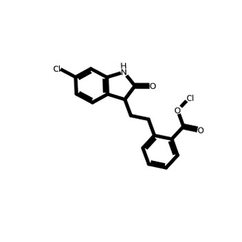 O=C(OCl)c1ccccc1CCC1C(=O)Nc2cc(Cl)ccc21